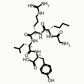 CCCC[C@H](NC(=O)CN)C(=O)N[C@@H](CCCNC(=N)N)C(=O)N[C@@H](CC(C)C)C(=O)N[C@@H](Cc1ccc(O)cc1)C(=O)O